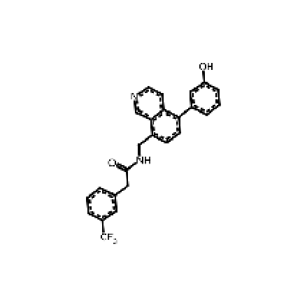 O=C(Cc1cccc(C(F)(F)F)c1)NCc1ccc(-c2cccc(O)c2)c2ccncc12